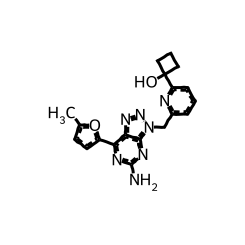 Cc1ccc(-c2nc(N)nc3c2nnn3Cc2cccc(C3(O)CCC3)n2)o1